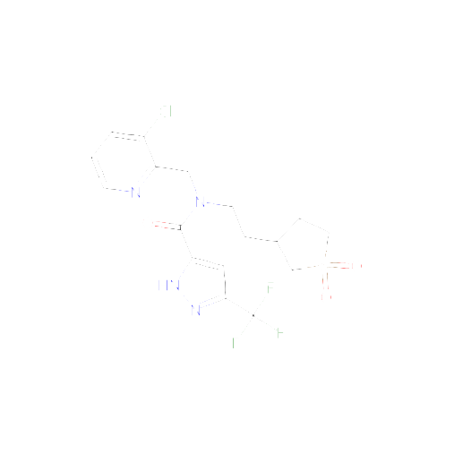 O=C(c1cc(C(F)(F)F)n[nH]1)N(CCC1CCS(=O)(=O)C1)Cc1ncccc1Cl